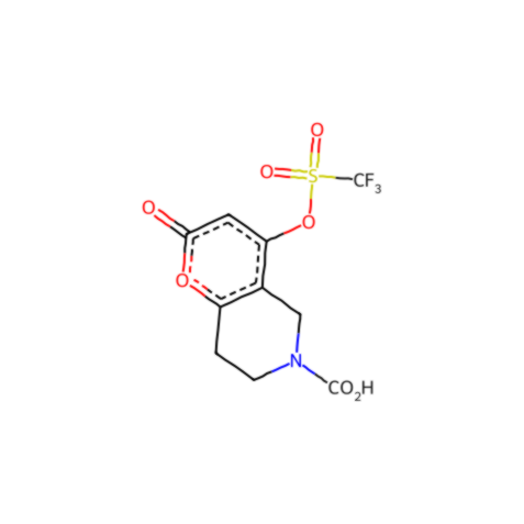 O=C(O)N1CCc2oc(=O)cc(OS(=O)(=O)C(F)(F)F)c2C1